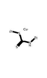 CCNC(=S)SCC.[Cu]